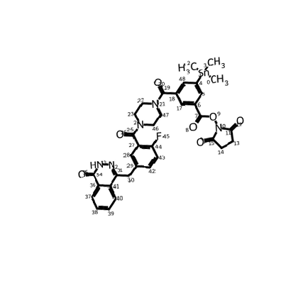 [CH3][Sn]([CH3])([CH3])[c]1cc(C(=O)ON2C(=O)CCC2=O)cc(C(=O)N2CCN(C(=O)c3cc(Cc4n[nH]c(=O)c5ccccc45)ccc3F)CC2)c1